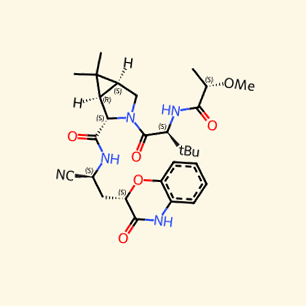 CO[C@@H](C)C(=O)N[C@H](C(=O)N1C[C@H]2[C@@H]([C@H]1C(=O)N[C@H](C#N)C[C@@H]1Oc3ccccc3NC1=O)C2(C)C)C(C)(C)C